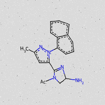 CC(=O)N1CC(N)N=C1c1cc(C)nn1-c1cccc2ccccc12